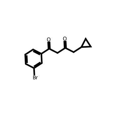 O=C(CC(=O)c1cccc(Br)c1)CC1CC1